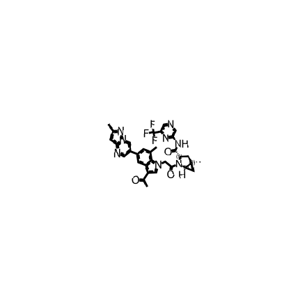 CC(=O)c1cn(CC(=O)N2[C@H](C(=O)Nc3cncc(C(F)(F)F)n3)C[C@@]3(C)C[C@@H]23)c2c(C)cc(-c3cnc4cc(C)nn4c3)cc12